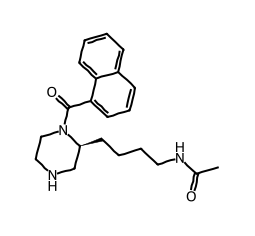 CC(=O)NCCCC[C@H]1CNCCN1C(=O)c1cccc2ccccc12